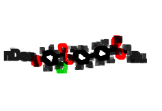 CCCCCCCCCCOc1ccc(C(=O)Oc2ccc(-c3ccc(C(=O)OC[C@@H](C)CC)cc3)cc2)c(Cl)c1